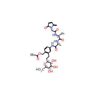 C=C1C=CC(=O)N1CC(=O)N[C@H](C(=O)N[C@@H](C)C(=O)Nc1ccc(COC(=O)C(C)(C)C)c(CC[C@@H]2O[C@H](C(=O)O)[C@@H](O)[C@H](O)[C@H]2O)c1)C(C)C